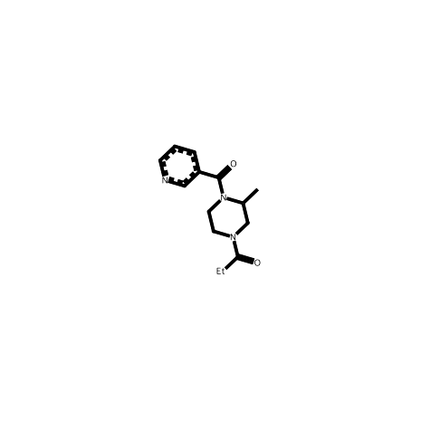 CCC(=O)N1CCN(C(=O)c2cccnc2)C(C)C1